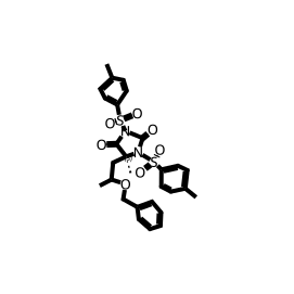 Cc1ccc(S(=O)(=O)N2C(=O)N(S(=O)(=O)c3ccc(C)cc3)[C@@](C)(CC(C)OCc3ccccc3)C2=O)cc1